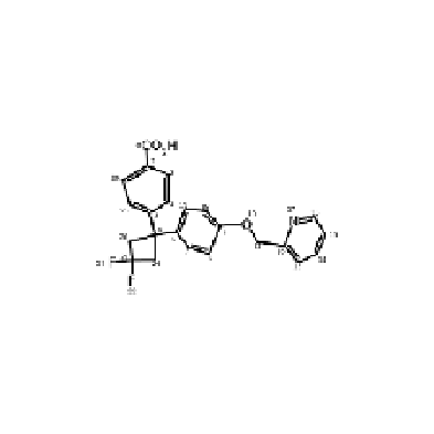 O=C(O)c1ccc(C2(c3ccc(OCc4ccccn4)cc3)CC(F)(F)C2)cc1